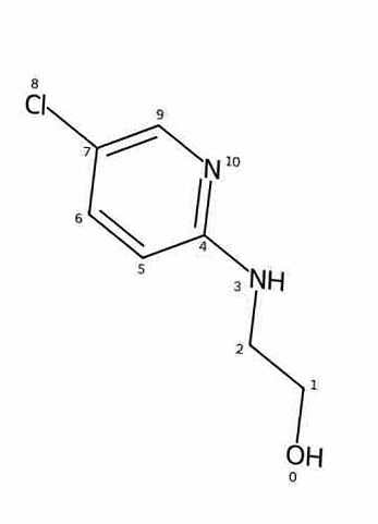 OCCNc1ccc(Cl)cn1